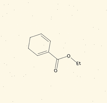 CCOC(=O)C1=CCCC=C1